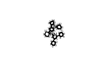 c1ccc(-c2cc(-c3ccccc3)nc(-n3c4c(c5cc6c7ccccc7n(-c7ccccc7)c6cc53)CCCC4)c2)cc1